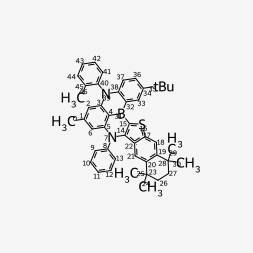 Cc1cc2c3c(c1)N(c1ccccc1)c1c(sc4cc5c(cc14)C(C)(C)CCC5(C)C)B3c1cc(C(C)(C)C)ccc1N2c1ccccc1C